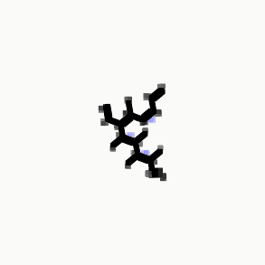 B/C(C)=C(C)/C(C)=C(\C)C(C=C)=C(C)/C=C\C=C